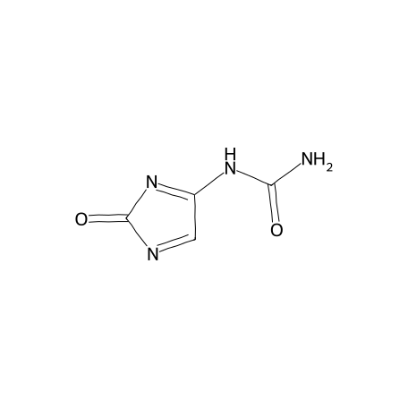 NC(=O)NC1=NC(=O)N=C1